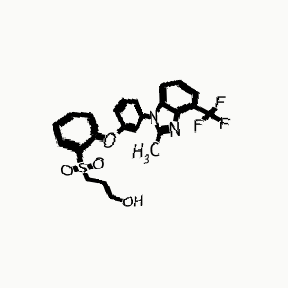 Cc1nc2c(C(F)(F)F)cccc2n1-c1cccc(Oc2ccccc2S(=O)(=O)CCCO)c1